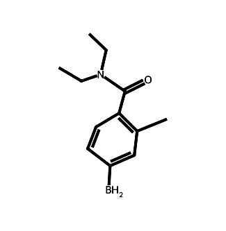 Bc1ccc(C(=O)N(CC)CC)c(C)c1